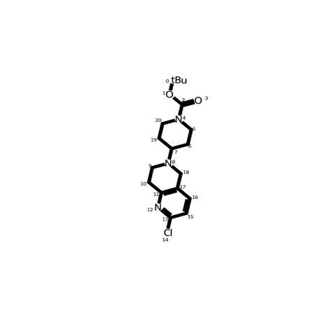 CC(C)(C)OC(=O)N1CCC(N2CCc3nc(Cl)ccc3C2)CC1